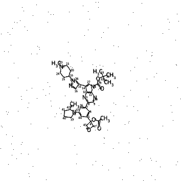 CC(=O)OC1(c2cc(-c3cnc4c(n3)c(-c3cnn(C5CCN(C)CC5)c3)cn4C(=O)OC(C)(C)C)cc(N3CCC[C@H]3C)c2)COC1